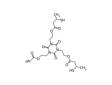 CCCC(=O)OCCn1c(=O)n(CCOC(=O)CC(C)S)c(=O)n(CCOC(=O)CC(C)S)c1=O